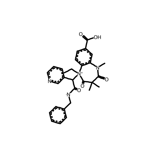 CC[N+]1(C(C(=O)[N]Cc2ccccc2)c2cccnc2)C(=O)C(C)(C)C(=O)N(C)c2cc(C(=O)O)ccc21